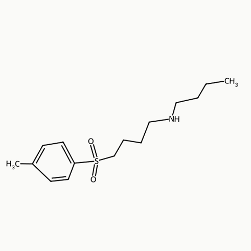 CCCCNCCCCS(=O)(=O)c1ccc(C)cc1